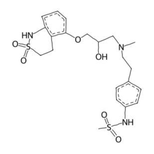 CN(CCc1ccc(NS(C)(=O)=O)cc1)CC(O)COc1cccc2c1CCS(=O)(=O)N2